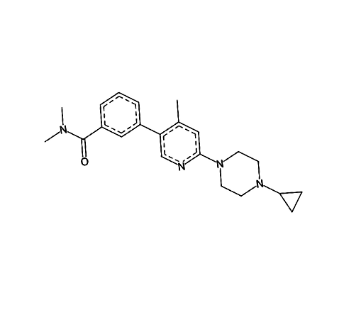 Cc1cc(N2CCN(C3CC3)CC2)ncc1-c1cccc(C(=O)N(C)C)c1